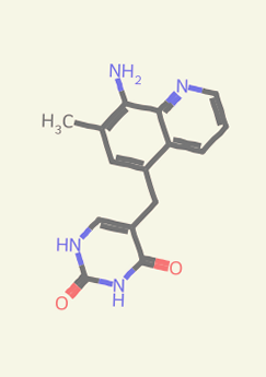 Cc1cc(Cc2c[nH]c(=O)[nH]c2=O)c2cccnc2c1N